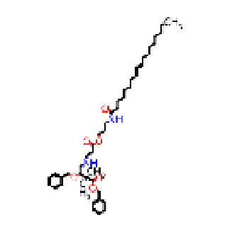 CCCCCCCCC=CCCCCCCCC(=O)NCCCOC(=O)CCNCC(OCc1ccccc1)C(C)(C)C(=O)OCc1ccccc1